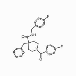 O=C(c1ccc(F)cc1)N1CCC(Cc2ccccc2)(C(=O)NCc2ccc(F)cc2)CC1